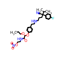 CCCOC(Oc1ccc(CCNCCCC(C#N)(c2ccc(F)cc2)C(C)C)cc1)C(=O)NCCO[N+](=O)[O-]